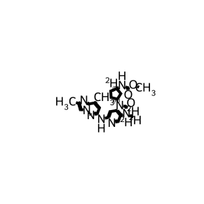 [2H]C([2H])([2H])n1c(=O)n([C@@H]2CC[C@@]([2H])(NC(=O)OC)C2)c2cc(Nc3cc(C)c4nc(C)cn4n3)ncc21